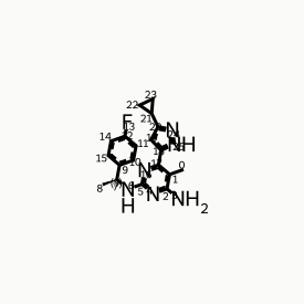 Cc1c(N)nc(N[C@@H](C)c2ccc(F)cc2)nc1-c1cc(C2CC2)n[nH]1